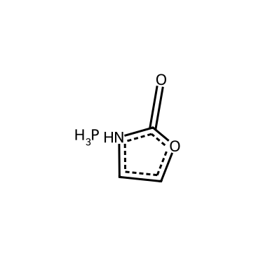 O=c1[nH]cco1.P